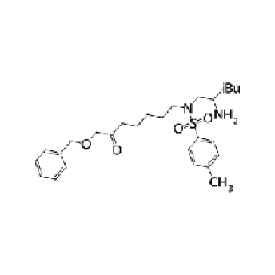 CCC(C)C(N)CN(CCCCCC(=O)COCc1ccccc1)S(=O)(=O)c1ccc(C)cc1